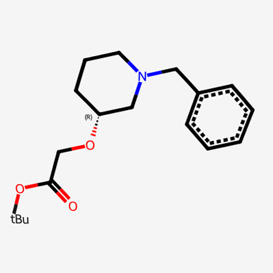 CC(C)(C)OC(=O)CO[C@@H]1CCCN(Cc2ccccc2)C1